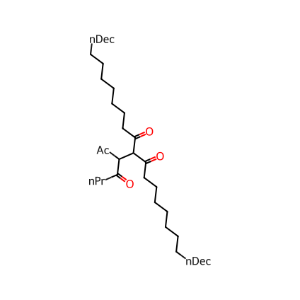 CCCCCCCCCCCCCCCCCC(=O)C(C(=O)CCCCCCCCCCCCCCCCC)C(C(C)=O)C(=O)CCC